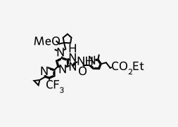 CCOC(=O)CCc1ccc(C(=O)Nc2nc3nc(-c4cnc(C5CC5)c(C(F)(F)F)c4)cc(N(C)CC4(COC)CCCC4)c3[nH]2)nc1C